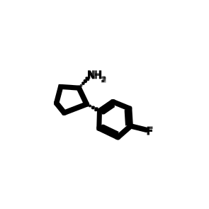 N[C@H]1CCC[C@H]1c1ccc(F)cc1